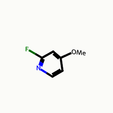 COc1ccnc(F)c1